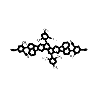 Cc1cc(C)c(-c2cc3c4cc5c(cc4c(-c4c(C)cc(C)cc4C)cc3c3cc4c(cc23)-c2ccc(-c3c(C)cc(C#N)cc3C#N)c3cccc-4c23)-c2ccc(-c3c(C)cc(C#N)cc3C#N)c3cccc-5c23)c(C)c1